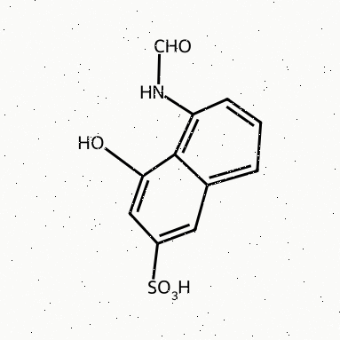 O=CNc1cccc2cc(S(=O)(=O)O)cc(O)c12